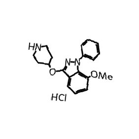 COc1cccc2c(OC3CCNCC3)nn(-c3ccccc3)c12.Cl